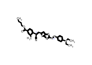 CCCCOC(=O)c1ccc(/C(C#N)=C/c2cc3sc(/N=N/c4ccc(N(CC)CC)cc4)nc3s2)c(C)c1